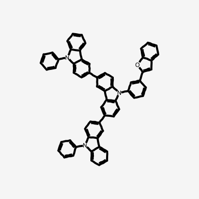 c1ccc(-n2c3ccccc3c3cc(-c4ccc5c(c4)c4cc(-c6ccc7c(c6)c6ccccc6n7-c6ccccc6)ccc4n5-c4cccc(-c5cc6ccccc6o5)c4)ccc32)cc1